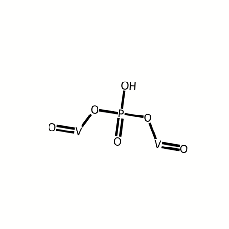 [O]=[V][O]P(=O)(O)[O][V]=[O]